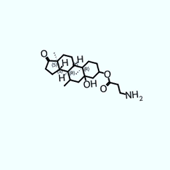 CC1CC2(O)CC(OC(=O)CCN)CC[C@]2(C)[C@@H]2CC[C@]3(C)C(=O)CC[C@H]3[C@H]12